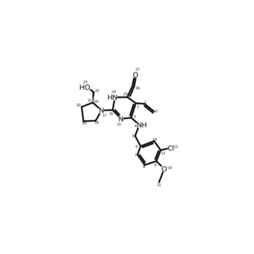 C=CC1=C(NCc2ccc(OC)c(Cl)c2)N=C(N2CCC[C@H]2CO)NC1=C=O